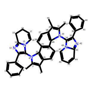 Cc1c(C)n(-c2c(-c3ccccc3)nc3n2C=CCC3)c2c1ccc1c2ccc2c(C)c(C)n(-c3c(-c4ccccc4)nc4ccccn34)c21